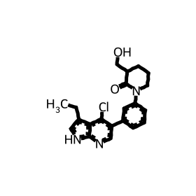 CCc1c[nH]c2ncc(-c3cccc(N4CCCC(CO)C4=O)c3)c(Cl)c12